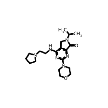 CC(C)N1Cc2c(NCCN3CCCC3)nc(N3CCOCC3)nc2C1=O